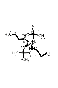 CCC[NH][Mo](=[N]C(C)(C)C)(=[N]C(C)(C)C)[NH]CCC